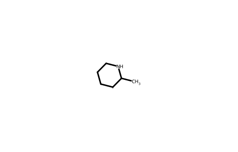 CC1[CH]CCCN1